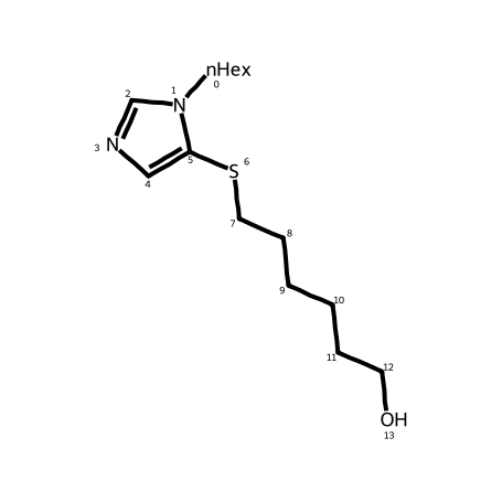 CCCCCCn1cncc1SCCCCCCO